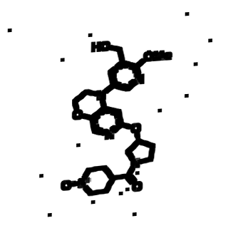 COc1ncc(N2CCOc3cnc(O[C@H]4CCN(C(=O)C5CC[S+]([O-])CC5)C4)cc32)cc1CO